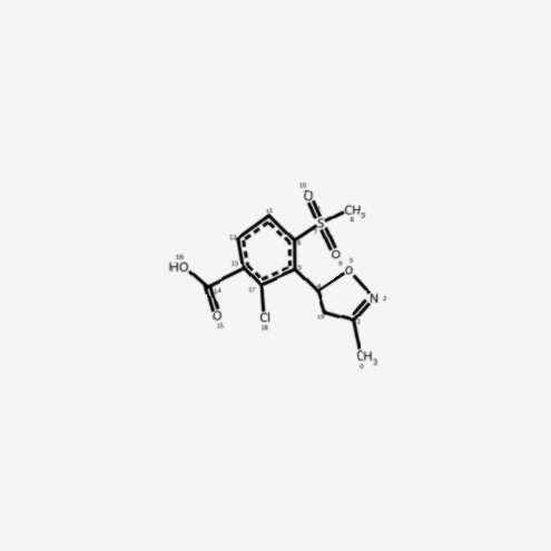 CC1=NOC(c2c(S(C)(=O)=O)ccc(C(=O)O)c2Cl)C1